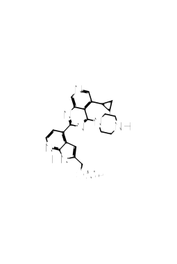 COCc1cc2c(-c3nc(N4CCNCC4)c4c(C5CC5)cncc4n3)ccnc2[nH]1